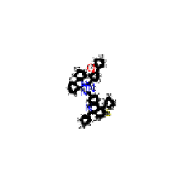 c1ccc(-c2ccccc2-c2nc(-c3ccc4c(c3)nc(-c3ccccc3)c3ccc5sc6ccccc6c5c34)nc(-c3ccc4c(c3)oc3ccccc34)n2)cc1